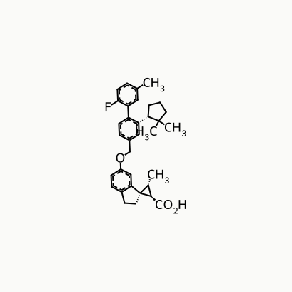 Cc1ccc(F)c(-c2ccc(COc3ccc4c(c3)[C@@]3(CC4)[C@H](C)[C@H]3C(=O)O)cc2[C@@H]2CCCC2(C)C)c1